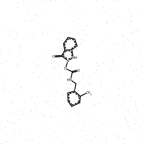 O=C(NCc1ccccc1C(F)(F)F)On1[nH]c2ccccc2c1=O